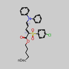 CCCCCCCCCCCCCCOC(=O)/C(=C/C=C/N(c1ccccc1)c1ccccc1)S(=O)(=O)c1ccc(Cl)cc1